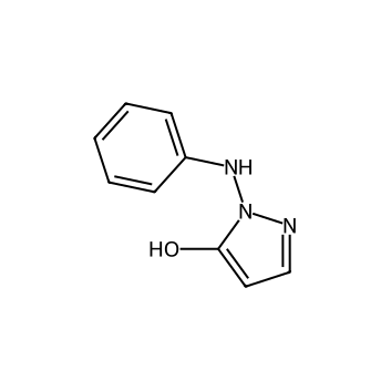 Oc1ccnn1Nc1ccccc1